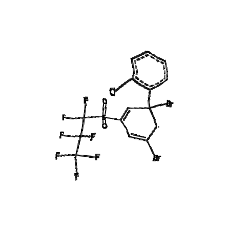 O=S(=O)(C1=CC(Br)(c2ccccc2Cl)[CH]C(Br)=C1)C(F)(F)C(F)(F)C(F)(F)F